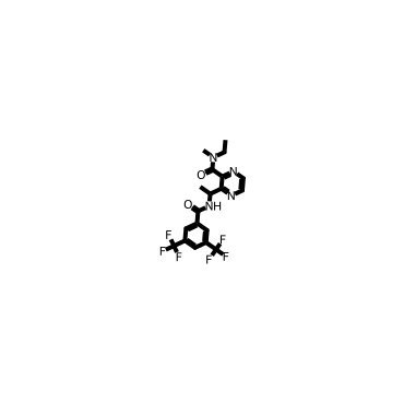 CCN(C)C(=O)c1nccnc1C(C)NC(=O)c1cc(C(F)(F)F)cc(C(F)(F)F)c1